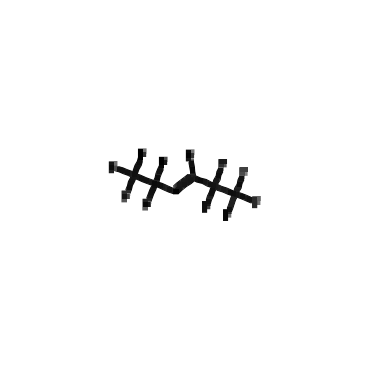 FC(=CC(F)(F)C(F)(F)F)C(F)(F)C(F)(F)F